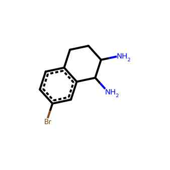 NC1CCc2ccc(Br)cc2C1N